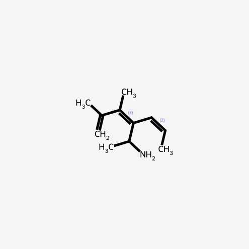 C=C(C)/C(C)=C(/C=C\C)C(C)N